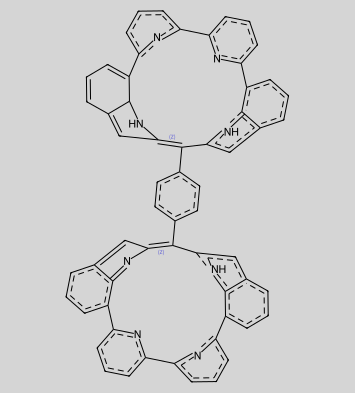 C1=CC2=C/C3=C(\c4ccc(/C5=C6\C=c7cccc(c7=N6)-c6cccc(n6)-c6cccc(n6)-c6cccc7cc5[nH]c67)cc4)c4cc5cccc(c5[nH]4)-c4cccc(n4)-c4cccc(n4)C(=C1)C2N3